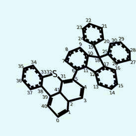 C1=CC2C=CC(c3cccc4c3-c3ccccc3C4(c3ccccc3)c3ccccc3)=C3Sc4ccccc4C(=C1)C32